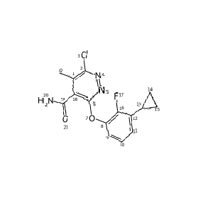 Cc1c(Cl)nnc(Oc2cccc(C3CC3)c2F)c1C(N)=O